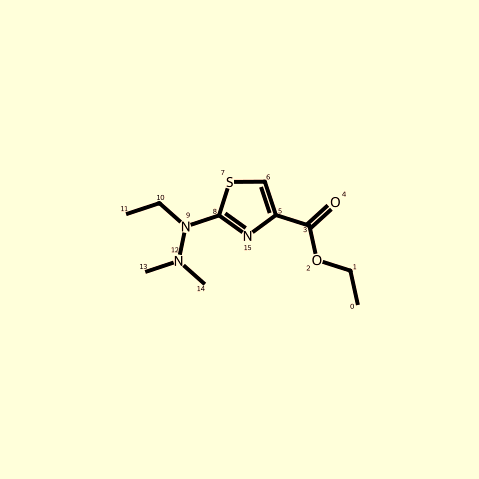 CCOC(=O)c1csc(N(CC)N(C)C)n1